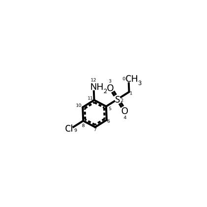 CCS(=O)(=O)c1ccc(Cl)cc1N